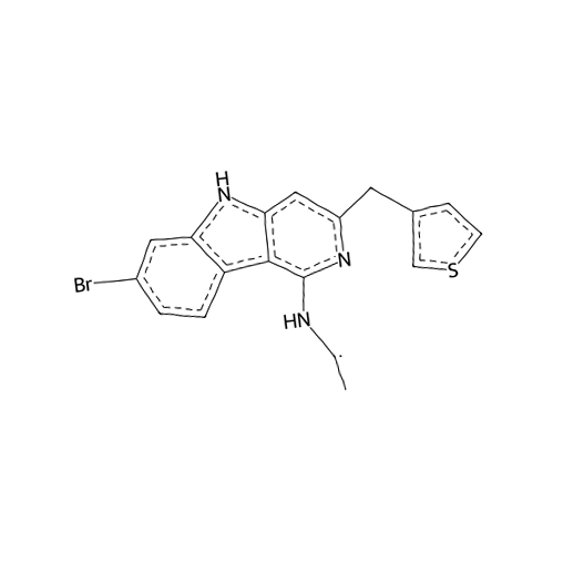 C[CH]Nc1nc(Cc2ccsc2)cc2[nH]c3cc(Br)ccc3c12